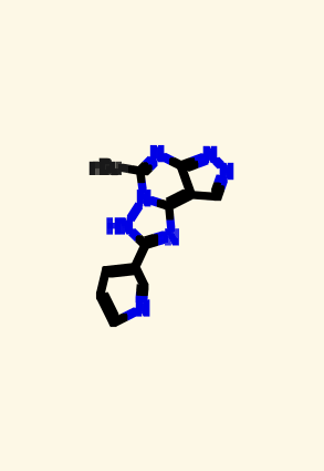 CCCCc1nc2nncc-2c2nc(-c3cccnc3)[nH]n12